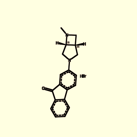 Br.CN1C[C@@H]2CN(c3ccc4c(c3)C(=O)c3ccccc3-4)C[C@@H]21